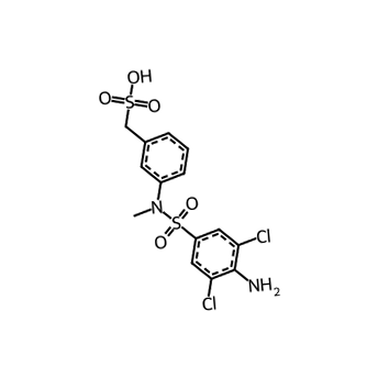 CN(c1cccc(CS(=O)(=O)O)c1)S(=O)(=O)c1cc(Cl)c(N)c(Cl)c1